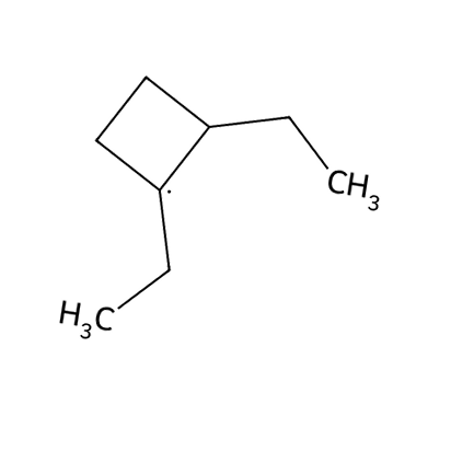 CC[C]1CCC1CC